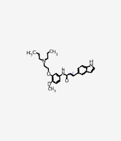 CCCN(CCC)CCOc1cc(NC(=O)/C=C/c2ccc3[nH]ccc3c2)ccc1OC